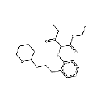 CCOC(=O)C(Sc1ccccc1CCOC1CCCCO1)C(=O)CC